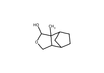 CC12C3CCC(C3)C1COC2O